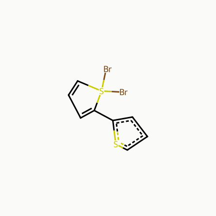 BrS1(Br)C=CC=C1c1cccs1